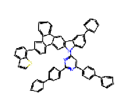 c1ccc(-c2ccc(-c3cc(-n4c5ccc(-c6ccccc6)cc5c5cc6c7ccccc7c7cc(-c8cccc9ccsc89)ccc7c6cc54)nc(-c4ccc(-c5ccccc5)cc4)n3)cc2)cc1